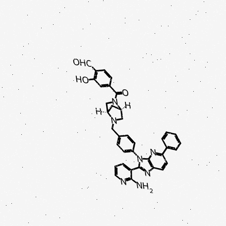 Nc1ncccc1-c1nc2ccc(-c3ccccc3)nc2n1-c1ccc(CN2C[C@H]3C[C@@H]2CN3C(=O)c2ccc(C=O)c(O)c2)cc1